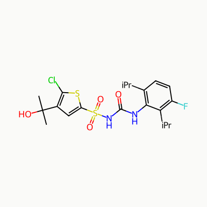 CC(C)c1ccc(F)c(C(C)C)c1NC(=O)NS(=O)(=O)c1cc(C(C)(C)O)c(Cl)s1